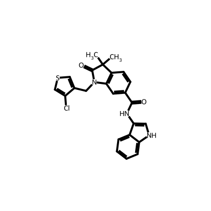 CC1(C)C(=O)N(Cc2cscc2Cl)c2cc(C(=O)Nc3c[nH]c4ccccc34)ccc21